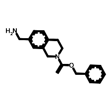 C=C(OCc1ccccc1)N1CCc2ccc(CN)cc2C1